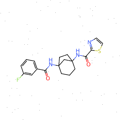 O=C(NC12CCCC(NC(=O)c3nccs3)(CC1)C2)c1cccc(F)c1